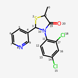 CC1SC(c2cccnc2)N(c2ccc(Cl)cc2Cl)C1=O